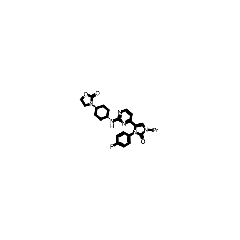 CC(C)n1cc(-c2ccnc(N[C@H]3CC[C@H](N4CCOC4=O)CC3)n2)n(-c2ccc(F)cc2)c1=O